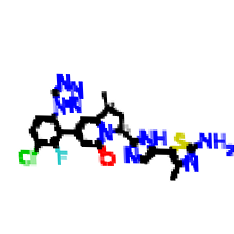 Cc1nc(N)sc1-c1cnc([C@@H]2C[C@H](C)c3cc(-c4c(-n5cnnn5)ccc(Cl)c4F)cc(=O)n32)[nH]1